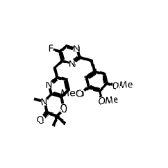 COc1cc(Cc2ncc(F)c(Cc3ccc4c(n3)N(C)C(=O)C(C)(C)O4)n2)cc(OC)c1OC